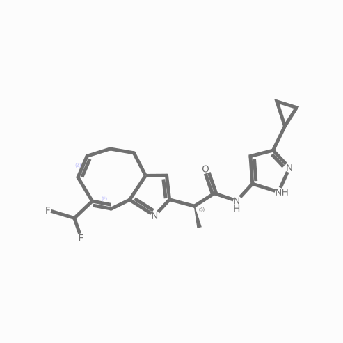 C[C@H](C(=O)Nc1cc(C2CC2)n[nH]1)C1=CC2CC/C=C\C(C(F)F)=C/C2=N1